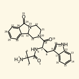 CC(C)(N)C(=O)N[C@H](Cc1c[nH]c2ccccc12)C(=O)N1CCN2C(=O)c3ccccc3C2C1